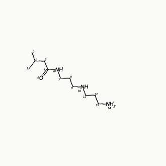 CC(C)CC(=O)NCCCNCCCN